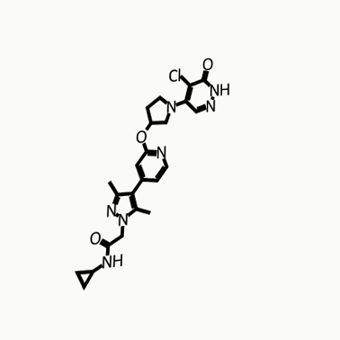 Cc1nn(CC(=O)NC2CC2)c(C)c1-c1ccnc(OC2CCN(c3cn[nH]c(=O)c3Cl)C2)c1